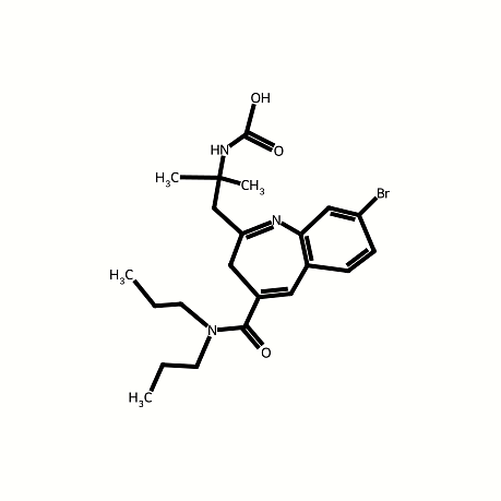 CCCN(CCC)C(=O)C1=Cc2ccc(Br)cc2N=C(CC(C)(C)NC(=O)O)C1